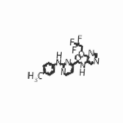 Cc1ccc(Nc2nccc(C(=O)Nc3cncnc3OCC(F)(F)F)n2)cc1